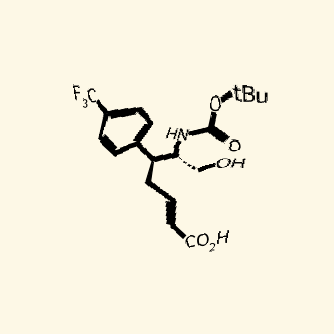 CC(C)(C)OC(=O)N[C@H](CO)[C@@H](CC=CC(=O)O)c1ccc(C(F)(F)F)cc1